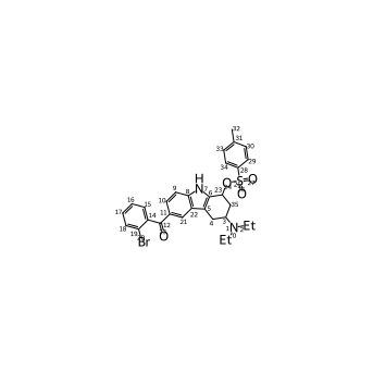 CCN(CC)C1Cc2c([nH]c3ccc(C(=O)c4ccccc4Br)cc23)C(OS(=O)(=O)c2ccc(C)cc2)C1